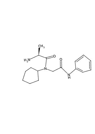 C[C@H](N)C(=O)N(CC(=O)Nc1ccccc1)C1CCCCC1